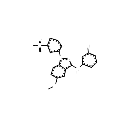 COc1ccc2c(c1)c(Nc1cccc(Cl)c1)nn2-c1cccc(S(C)(=O)=O)c1